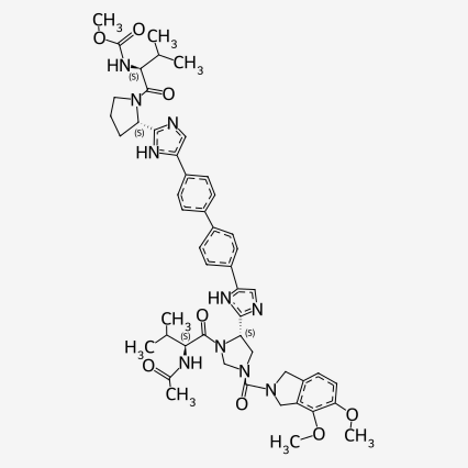 COC(=O)N[C@H](C(=O)N1CCC[C@H]1c1ncc(-c2ccc(-c3ccc(-c4cnc([C@@H]5CN(C(=O)N6Cc7ccc(OC)c(OC)c7C6)CN5C(=O)[C@@H](NC(C)=O)C(C)C)[nH]4)cc3)cc2)[nH]1)C(C)C